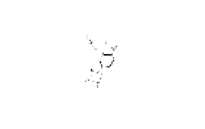 COc1nn(-c2ccc(C(F)(F)F)c([S+]([O-])CC(F)(F)F)c2)c(=O)n1C